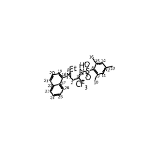 CCN(CC(NS(=O)(=O)c1c(C)cc(C)cc1C)C(F)(F)F)c1cccc2ccccc12